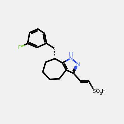 O=S(=O)(O)C=Cc1n[nH]c2c1CCCC[C@@H]2Cc1cccc(F)c1